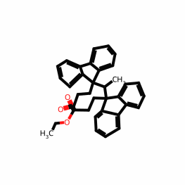 CCOC(=O)CCC1(C(C)C2(CCC=O)c3ccccc3-c3ccccc32)c2ccccc2-c2ccccc21